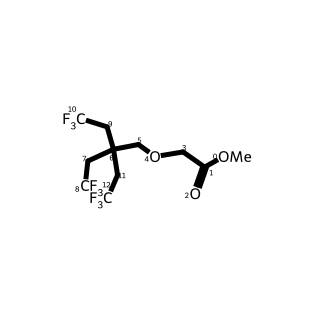 COC(=O)COCC(CC(F)(F)F)(CC(F)(F)F)CC(F)(F)F